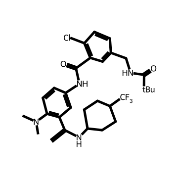 C=C(NC1CCC(C(F)(F)F)CC1)c1cc(NC(=O)c2cc(CNC(=O)C(C)(C)C)ccc2Cl)ccc1N(C)C